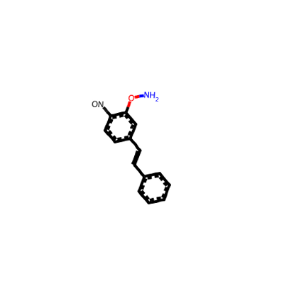 NOc1cc(/C=C/c2ccccc2)ccc1N=O